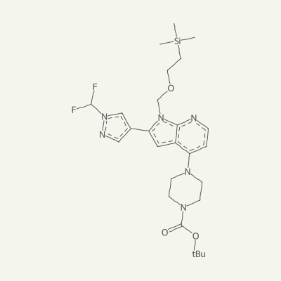 CC(C)(C)OC(=O)N1CCN(c2ccnc3c2cc(-c2cnn(C(F)F)c2)n3COCC[Si](C)(C)C)CC1